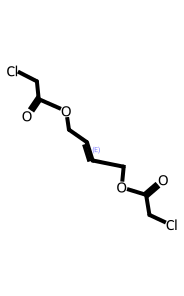 O=C(CCl)OC/C=C/COC(=O)CCl